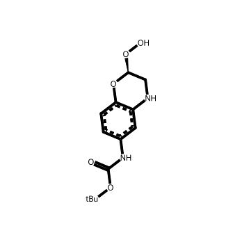 CC(C)(C)OC(=O)Nc1ccc2c(c1)NC[C@H](OO)O2